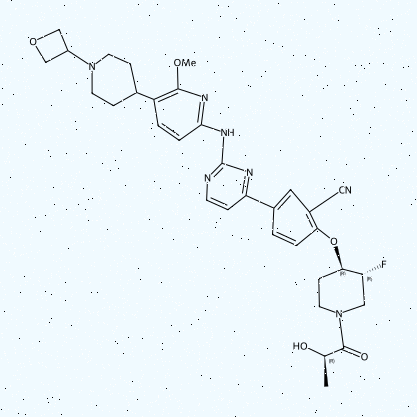 COc1nc(Nc2nccc(-c3ccc(O[C@@H]4CCN(C(=O)[C@@H](C)O)C[C@H]4F)c(C#N)c3)n2)ccc1C1CCN(C2COC2)CC1